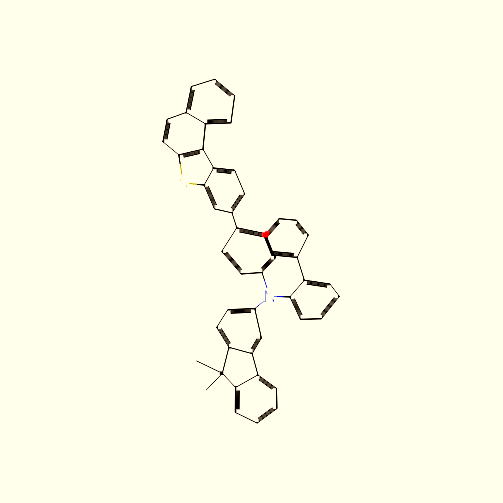 CC1(C)c2ccccc2-c2cc(N(c3ccc(-c4ccc5c(c4)sc4ccc6ccccc6c45)cc3)c3ccccc3-c3ccccc3)ccc21